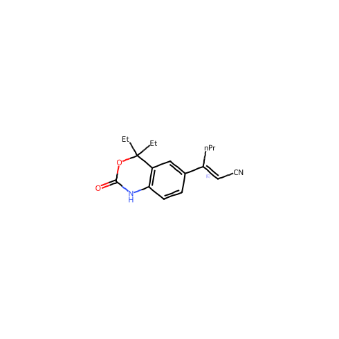 CCC/C(=C\C#N)c1ccc2c(c1)C(CC)(CC)OC(=O)N2